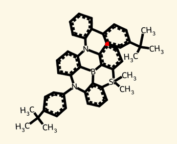 CC(C)(C)c1ccc(-c2ccccc2N2c3cccc4c3B3c5c(cccc5[Si](C)(C)c5cccc2c53)N4c2ccc(C(C)(C)C)cc2)cc1